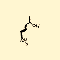 C=C(O)CC=CN